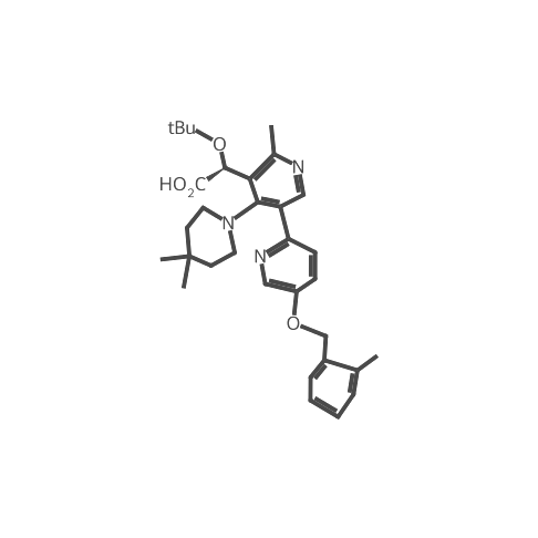 Cc1ccccc1COc1ccc(-c2cnc(C)c([C@H](OC(C)(C)C)C(=O)O)c2N2CCC(C)(C)CC2)nc1